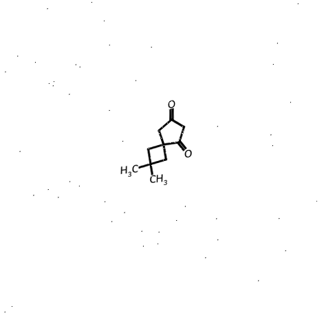 CC1(C)CC2(CC(=O)CC2=O)C1